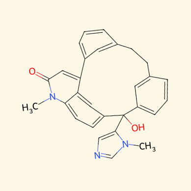 Cn1cncc1C1(O)c2cccc(c2)CCc2cccc(c2)-c2cc(=O)n(C)c3ccc1cc23